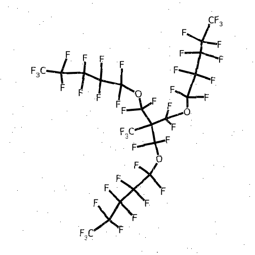 FC(F)(F)C(F)(F)C(F)(F)C(F)(F)C(F)(F)OC(F)(F)C(C(F)(F)F)(C(F)(F)OC(F)(F)C(F)(F)C(F)(F)C(F)(F)C(F)(F)F)C(F)(F)OC(F)(F)C(F)(F)C(F)(F)C(F)(F)C(F)(F)F